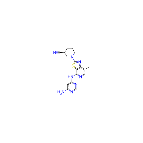 Cc1cnc(Nc2cc(N)ncn2)c2sc(N3CCC[C@H](C#N)C3)nc12